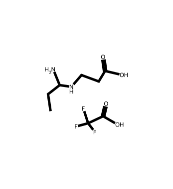 CCC(N)NCCC(=O)O.O=C(O)C(F)(F)F